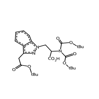 CC(C)(C)OC(=O)Cc1nn(CC(C(=O)O)N(C(=O)OC(C)(C)C)C(=O)OC(C)(C)C)c2ccccc12